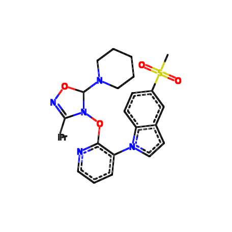 CC(C)C1=NOC(N2CCCCC2)N1Oc1ncccc1-n1ccc2cc(S(C)(=O)=O)ccc21